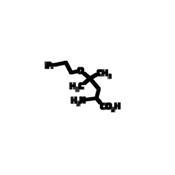 CC(C)CCOC(C)(C)CC(N)C(=O)O